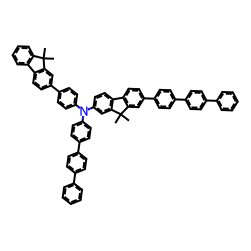 CC1(C)c2ccccc2-c2ccc(-c3ccc(N(c4ccc(-c5ccc(-c6ccccc6)cc5)cc4)c4ccc5c(c4)C(C)(C)c4cc(-c6ccc(-c7ccc(-c8ccccc8)cc7)cc6)ccc4-5)cc3)cc21